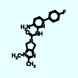 Cc1nc2c(n1C)CN(C(=O)Nc1nc(-c3ccc(F)cc3)ccc1N)C2